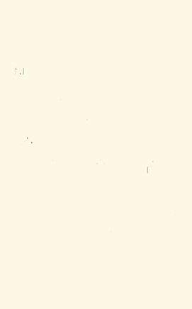 N=Cc1ccc(OCc2ccccc2F)cn1